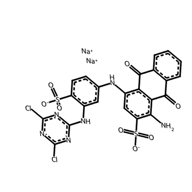 Nc1c(S(=O)(=O)[O-])cc(Nc2ccc(S(=O)(=O)[O-])c(Nc3nc(Cl)nc(Cl)n3)c2)c2c1C(=O)c1ccccc1C2=O.[Na+].[Na+]